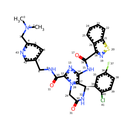 CN(C)Cc1ccc(CNC(=O)c2nc(NC(=O)c3nsc4ccccc34)c3n2CC(=O)N[C@H]3c2cc(F)ccc2Cl)cn1